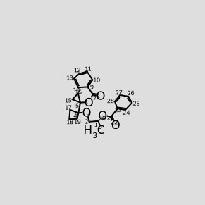 CC(COC1(C2(OC(=O)c3ccccc3)CC2)CCC1)OC(=O)c1ccccc1